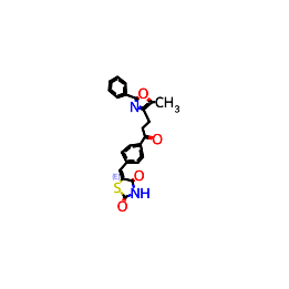 Cc1oc(-c2ccccc2)nc1CCC(=O)c1ccc(/C=C2/SC(=O)NC2=O)cc1